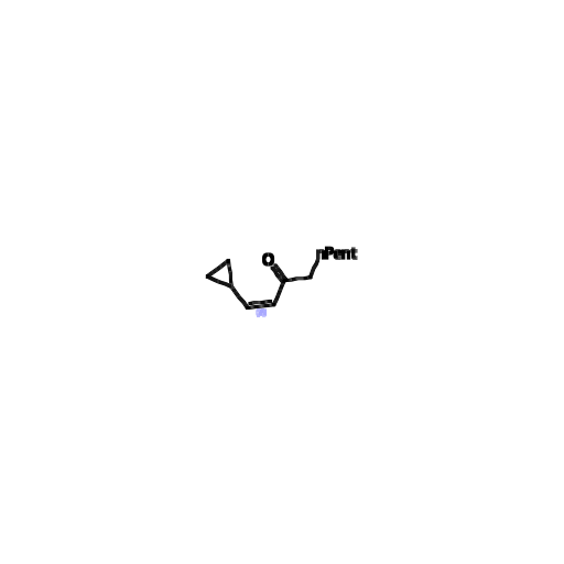 CCCCCCC(=O)/C=C\C1CC1